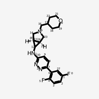 Fc1ccc(F)c(-c2ccc(NC3[C@H]4CN(CC5CCOCC5)C[C@@H]34)nn2)c1